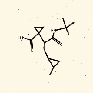 CC1CC1CC(C(=O)NC(C)(C)C)C1(C(N)=O)CC1